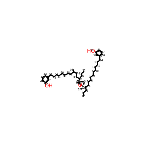 CCCC(CCCCCCCCCCCc1cccc(O)c1)[Si](C)(C)O[Si](C)(C)C(CCC)CCC(C)CCCCCCCCc1cccc(O)c1